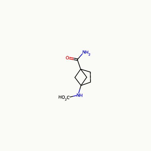 NC(=O)C12CCC(NC(=O)O)(C1)C2